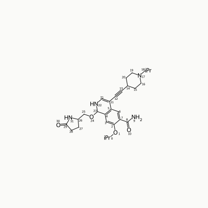 CC(C)Oc1cc2c(cc1C(N)=O)C(C#CC1CCN(C(C)C)CC1)=CNC2OCC1CCC(=O)N1